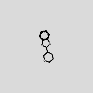 c1ccc2c(c1)OC(C1COCC[N]1)O2